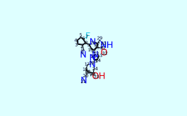 N#Cc1cccc(F)c1-c1cc(-n2ccc(N3CC[C@H](C#N)[C@@H](O)C3)n2)c2c(n1)CNC2=O